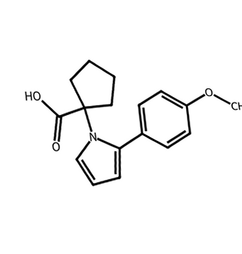 COc1ccc(-c2cccn2C2(C(=O)O)CCCC2)cc1